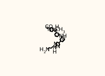 CC(c1cccc(Nc2cc(-c3cnc(NCCCN)nc3)ccn2)c1)N1CCN(CC(=O)O)CC1